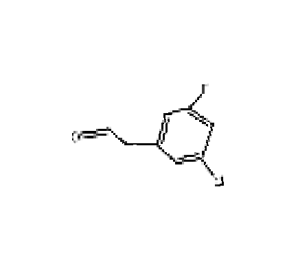 O=CCc1cc(F)cc(Cl)c1